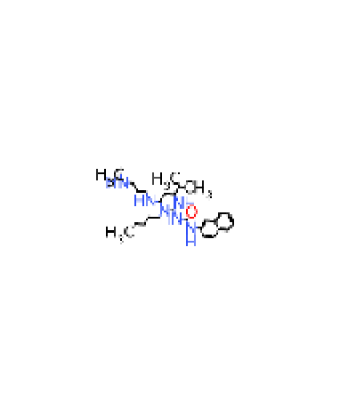 CCCCCN1C(NCCCNC)CC(C(C)C)NC1NC(=O)Nc1ccc2ccccc2c1